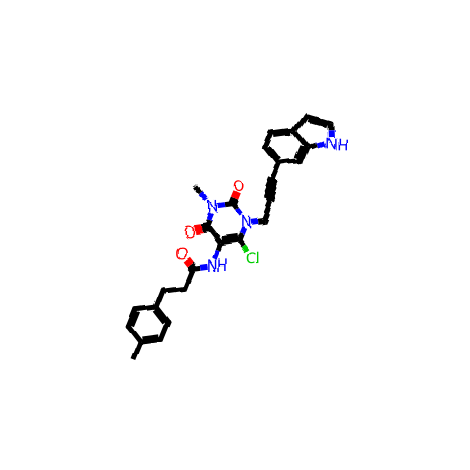 Cc1ccc(CCC(=O)Nc2c(Cl)n(CC#Cc3ccc4cc[nH]c4c3)c(=O)n(C)c2=O)cc1